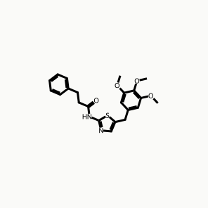 COc1cc(Cc2cnc(NC(=O)CCc3ccccc3)s2)cc(OC)c1OC